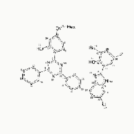 CCCCCCOc1ccc(-c2nc(-c3ccccc3)nc(-c3ccccc3)n2)c(O)c1.Cc1cc(-n2nc3ccc(Cl)cc3n2)c(O)c(C(C)(C)C)c1